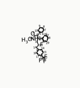 CNC(=O)[C@H](c1ccccc1)N(CCCc1ccc(C(F)(F)F)cc1)c1ccccc1F